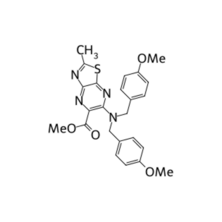 COC(=O)c1nc2nc(C)sc2nc1N(Cc1ccc(OC)cc1)Cc1ccc(OC)cc1